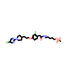 CS(=O)(=O)OCCCCCNC(=O)Cc1ccc(OCCCC2CCN(c3ncc(Cl)cn3)CC2)cc1F